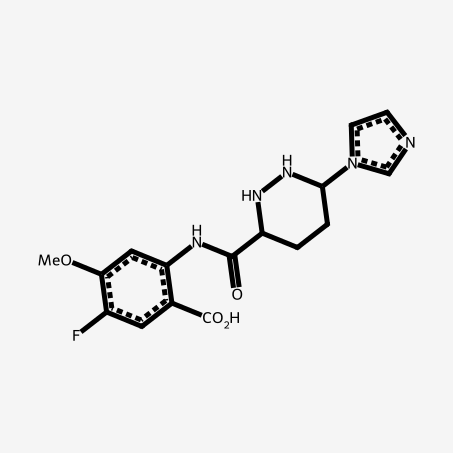 COc1cc(NC(=O)C2CCC(n3ccnc3)NN2)c(C(=O)O)cc1F